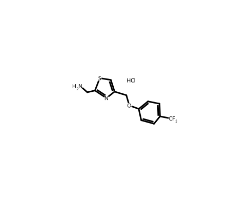 Cl.NCc1nc(COc2ccc(C(F)(F)F)cc2)cs1